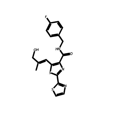 C/C(=C\c1sc(-c2nccs2)nc1C(=O)NCc1ccc(F)cc1)CO